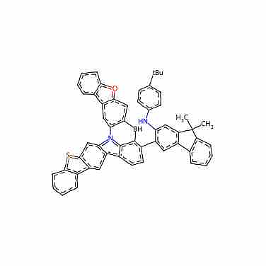 CC(C)(C)c1ccc(Nc2cc3c(cc2-c2ccc4c5cc6c(cc5n5c4c2Bc2cc4oc7ccccc7c4cc2-5)sc2ccccc26)-c2ccccc2C3(C)C)cc1